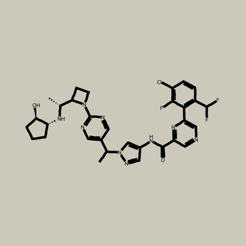 CC(c1cnc(N2CCC2[C@@H](C)N[C@@H]2CCC[C@H]2O)nc1)n1cc(NC(=O)c2cncc(-c3c(C(F)F)ccc(Cl)c3F)n2)cn1